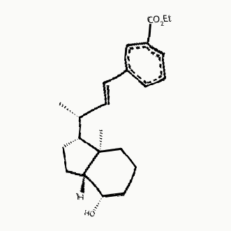 CCOC(=O)c1cccc(C=C[C@@H](C)[C@H]2CC[C@H]3[C@@H](O)CCC[C@]23C)c1